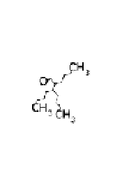 CCCCC(C=O)C(CCCC)CCCC